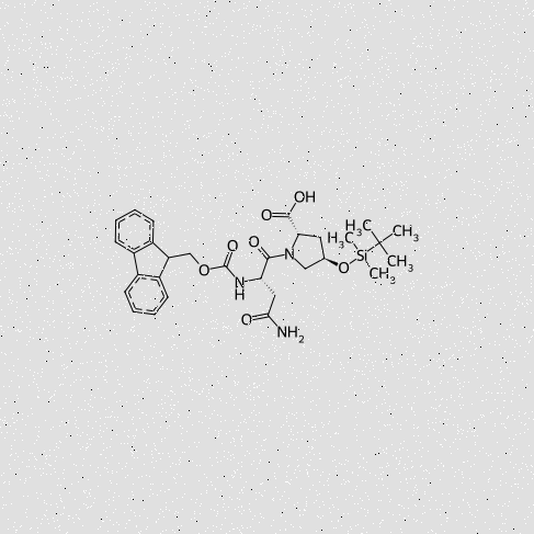 CC(C)(C)[Si](C)(C)O[C@@H]1C[C@@H](C(=O)O)N(C(=O)[C@H](CC(N)=O)NC(=O)OCC2c3ccccc3-c3ccccc32)C1